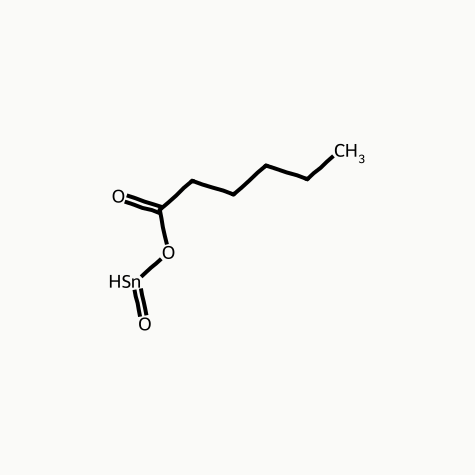 CCCCCC(=O)[O][SnH]=[O]